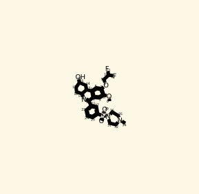 COc1cc2c(cc1OCC(F)F)C1CC(O)CCC1N=C2c1cccc(S(=O)(=O)N2CCN(C)CC2)c1